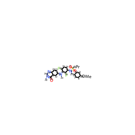 CCCS(=O)(=O)N(Cc1ccc(OC)cc1)c1ccc(F)c(N(C)c2ccc3ncn(C)c(=O)c3c2)c1F